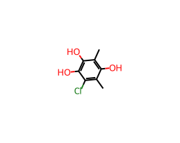 Cc1c(O)c(C)c(Cl)c(O)c1O